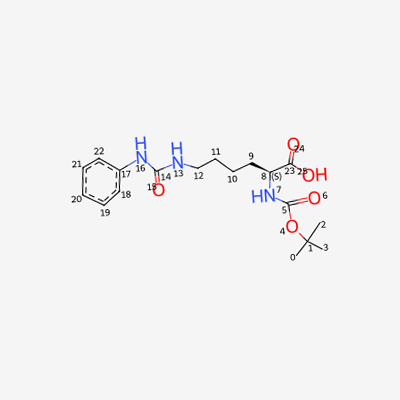 CC(C)(C)OC(=O)N[C@@H](CCCCNC(=O)Nc1ccccc1)C(=O)O